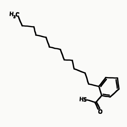 CCCCCCCCCCCCc1ccccc1C(=O)S